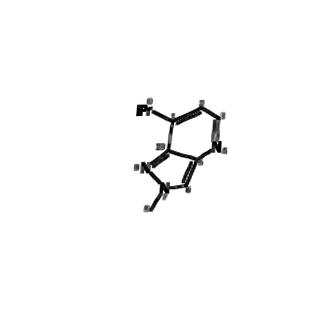 CC(C)c1ccnc2cn(C)nc12